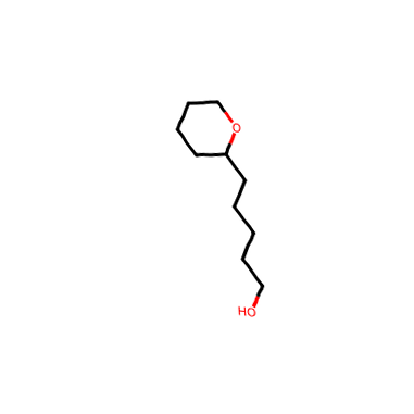 OCCCCCC1CCCCO1